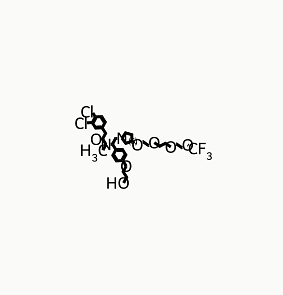 CN(C(=O)Cc1ccc(Cl)c(Cl)c1)C(CN1CC[C@H](OCCOCCOCCOC(F)(F)F)C1)c1ccc(OCCO)cc1